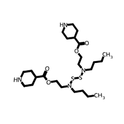 CCCCN(CCOC(=O)C1CCNCC1)SSN(CCCC)CCOC(=O)C1CCNCC1